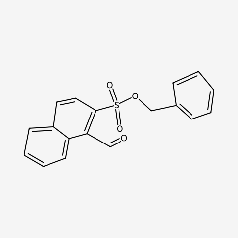 O=Cc1c(S(=O)(=O)OCc2ccccc2)ccc2ccccc12